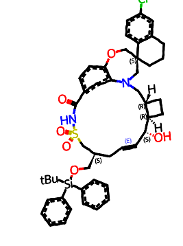 CC(C)(C)[Si](OC[C@@H]1C/C=C/[C@@H](O)[C@@H]2CC[C@H]2CN2C[C@@]3(CCCc4cc(Cl)ccc43)COc3ccc(cc32)C(=O)NS(=O)(=O)C1)(c1ccccc1)c1ccccc1